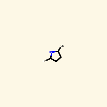 CCC1CCC(C#N)N1